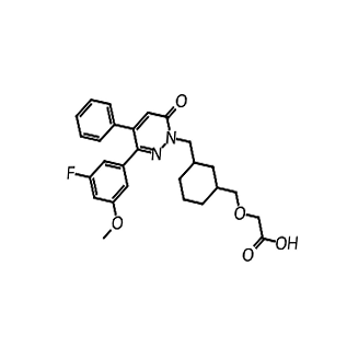 COc1cc(F)cc(-c2nn(CC3CCCC(COCC(=O)O)C3)c(=O)cc2-c2ccccc2)c1